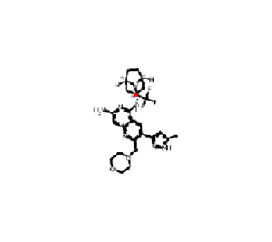 Cc1cc(-c2cc3c(N[C@H]4C[C@H]5CC[C@@H](C4)N5CC(F)(F)F)nc(N)cc3nc2CN2CCOCC2)n[nH]1